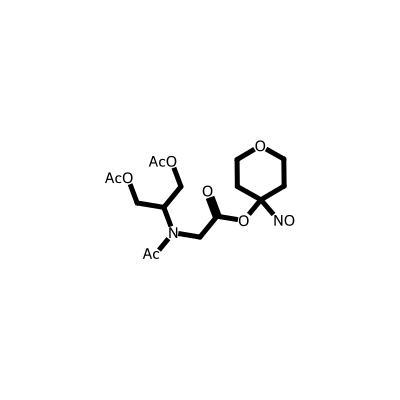 CC(=O)OCC(COC(C)=O)N(CC(=O)OC1(N=O)CCOCC1)C(C)=O